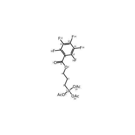 CC(=O)O[Si](CCCOC(=O)c1c(F)c(F)c(F)c(F)c1F)(OC(C)=O)OC(C)=O